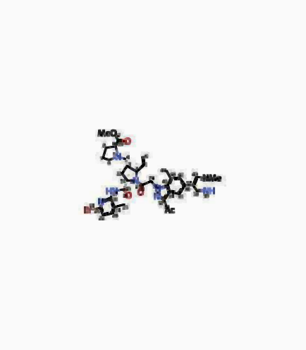 C=C[C@@H]1[C@@H](CN2CCC[C@H]2C(=O)OC)C[C@@H](C(=O)Nc2nc(Br)ccc2C)N1C(=O)Cn1nc(C(C)=O)c2cc(/C(C=N)=C/NC)cc(C)c21